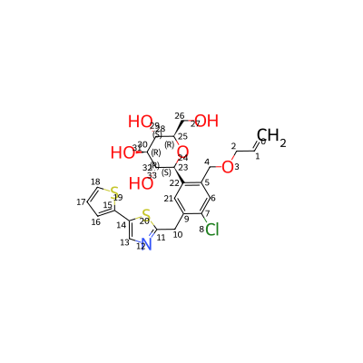 C=CCOCc1cc(Cl)c(Cc2ncc(-c3cccs3)s2)cc1[C@@H]1O[C@H](CO)[C@@H](O)[C@H](O)[C@H]1O